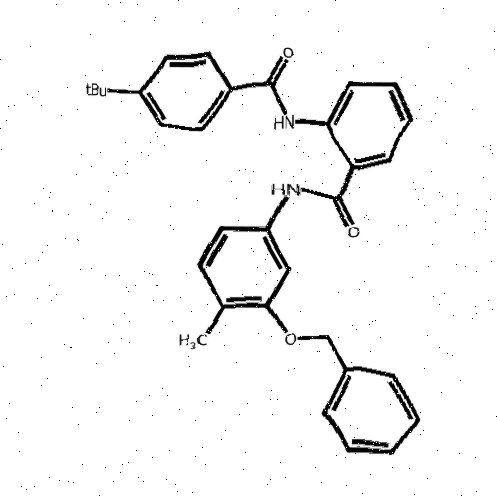 Cc1ccc(NC(=O)c2ccccc2NC(=O)c2ccc(C(C)(C)C)cc2)cc1OCc1ccccc1